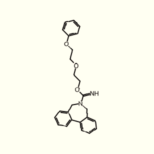 N=C(OCCOCCOc1ccccc1)N1Cc2ccccc2-c2ccccc2C1